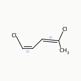 C/C(Cl)=C\C=C/Cl